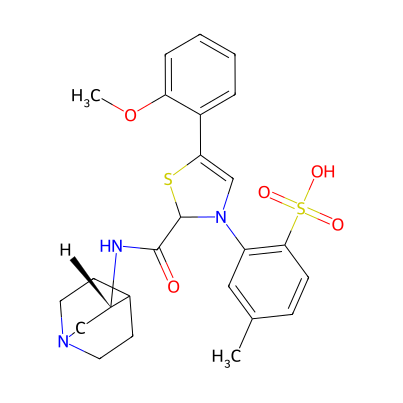 COc1ccccc1C1=CN(c2cc(C)ccc2S(=O)(=O)O)C(C(=O)N[C@H]2CN3CCC2CC3)S1